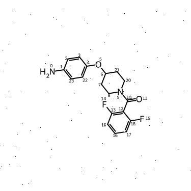 Nc1ccc(OC2CCN(C(=O)c3c(F)cccc3F)CC2)cc1